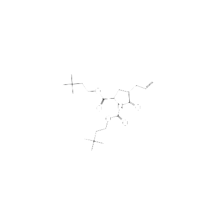 C=CCC1CC(C(=O)OCCC(C)(C)C)N(C(=O)OCCC(C)(C)C)C1=O